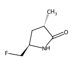 C[C@H]1C[C@H](CF)NC1=O